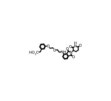 O=C(O)Cc1cccc(OCCOCCNc2cccc3c2C(=O)N(C2CCC(=O)NC2=O)C3=O)c1